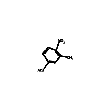 CC(=O)Oc1ccc([N+](=O)[O-])c(C)c1